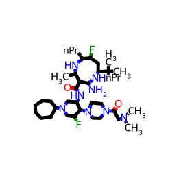 CCCC1NC(C)C(C(=O)NC2CN(C3CCCCCC3)CC(F)C2N2CCN(C(=O)CN(C)C)CC2)C(N)NC(C(C)(C)CCC)CC1F